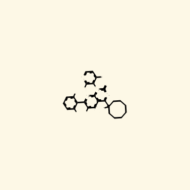 BC1(c2nc(=O)n(-c3c(C)ccnc3C)c3nc(-c4c(O)cccc4F)c(F)cc23)CCCCCCC1